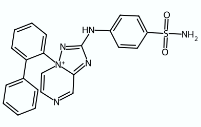 NS(=O)(=O)c1ccc(NC2=N[N+]3(c4ccccc4-c4ccccc4)C=CN=CC3=N2)cc1